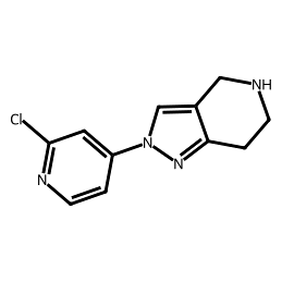 Clc1cc(-n2cc3c(n2)CCNC3)ccn1